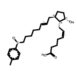 Cc1ccc([S+]([O-])CCCCC/C=C/C[C@H]2CC[C@H](O)[C@@H]2C/C=C\CCCC(=O)O)cc1